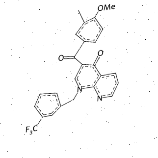 COc1ccc(C(=O)c2cn(Cc3cccc(C(F)(F)F)c3)c3ncccc3c2=O)cc1C